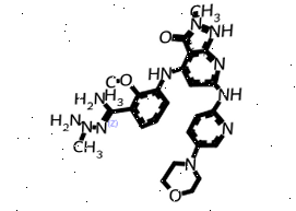 COc1c(Nc2cc(Nc3ccc(N4CCOCC4)cn3)nc3[nH]n(C)c(=O)c23)cccc1/C(N)=N/N(C)N